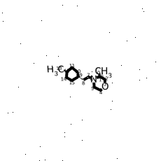 C[C@@H]1COCCN1CC[C@H]1CC[C@H](C)CC1